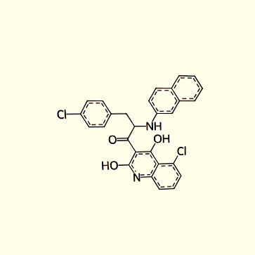 O=C(c1c(O)nc2cccc(Cl)c2c1O)C(Cc1ccc(Cl)cc1)Nc1ccc2ccccc2c1